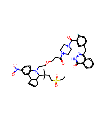 CCS(=O)(=O)CCC(C)(C)C1C2CC=CC2c2cc([N+](=O)[O-])ccc2N1CCOCCC(=O)N1CCN(C(=O)c2cc(Cc3n[nH]c(=O)c4ccccc34)ccc2F)CC1